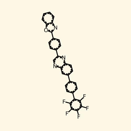 Fc1c(F)c(F)c(-c2ccc(-c3ccc4nc(-c5ccc(-c6nc7ccccc7o6)cc5)cnc4c3)cc2)c(F)c1F